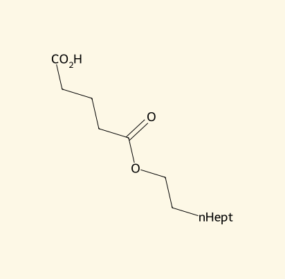 CCCCCCCCCOC(=O)CCCC(=O)O